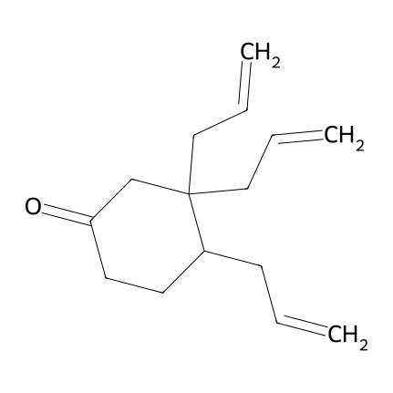 C=CCC1CCC(=O)CC1(CC=C)CC=C